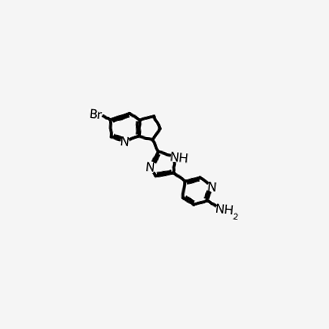 Nc1ccc(-c2cnc(C3CCc4cc(Br)cnc43)[nH]2)cn1